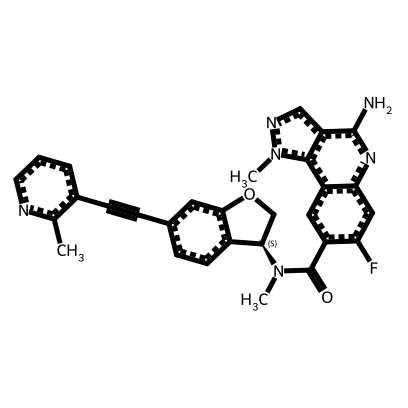 Cc1ncccc1C#Cc1ccc2c(c1)OC[C@H]2N(C)C(=O)c1cc2c(cc1F)nc(N)c1cnn(C)c12